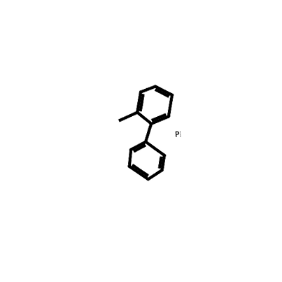 Cc1ccccc1-c1ccccc1.[P]